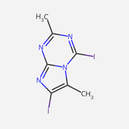 Cc1nc(I)n2c(C)c(I)nc2n1